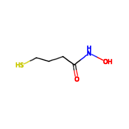 O=C(CCCS)NO